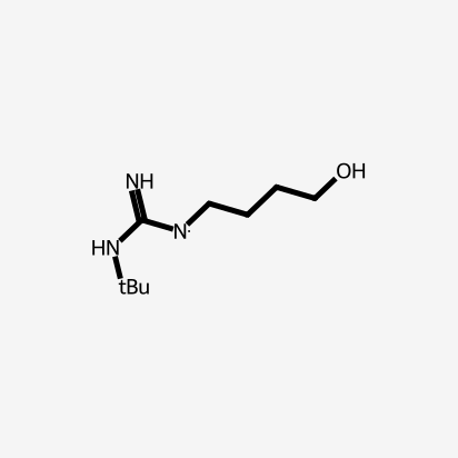 CC(C)(C)NC(=N)[N]CCCCO